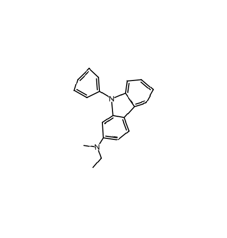 CCN(C)c1ccc2c3ccccc3n(-c3ccccc3)c2c1